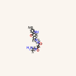 CCc1cc2c(cc1N1CCN(C(=O)C34CC(C(=O)N5C[C@H](N)C6(CC6)C5)(C3)C4)CC1)C(C)(C)c1[nH]c3cc(C#N)ccc3c1C2=O